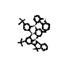 Cc1cc2c3c(c1)-n1c4c(c5cc(C(C)(C)C)cc(c51)B3c1ccc(C(C)(C)C)cc1N2c1cccc2oc3ccccc3c12)C(C)(C)c1ccccc1-4